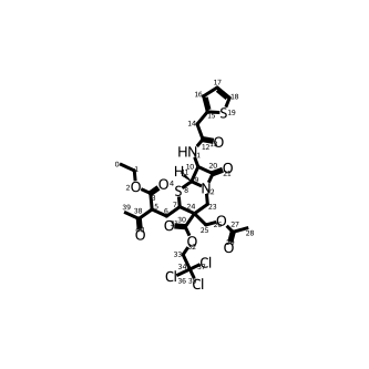 CCOC(=O)C(CC1S[C@@H]2C(NC(=O)Cc3cccs3)C(=O)N2CC1(COC(C)=O)C(=O)OCC(Cl)(Cl)Cl)C(C)=O